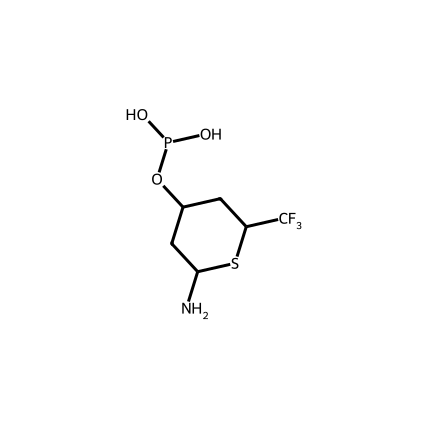 NC1CC(OP(O)O)CC(C(F)(F)F)S1